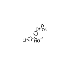 CC(C)OC(=O)C(C)(C)Oc1ccc(C(=O)c2ccc(Cl)cc2)cc1.CC[CH]O